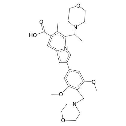 COc1cc(-c2cc3cc(C(=O)O)c(C)c(C(C)N4CCOCC4)n3c2)cc(OC)c1CN1CCOCC1